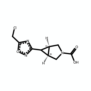 O=C(O)N1C[C@@H]2C(c3noc(CCl)n3)[C@@H]2C1